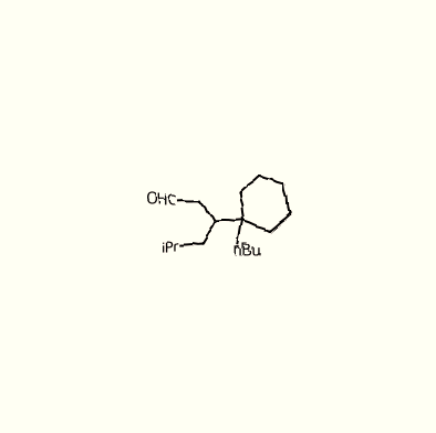 CCCCC1(C(CC=O)CC(C)C)CCCCC1